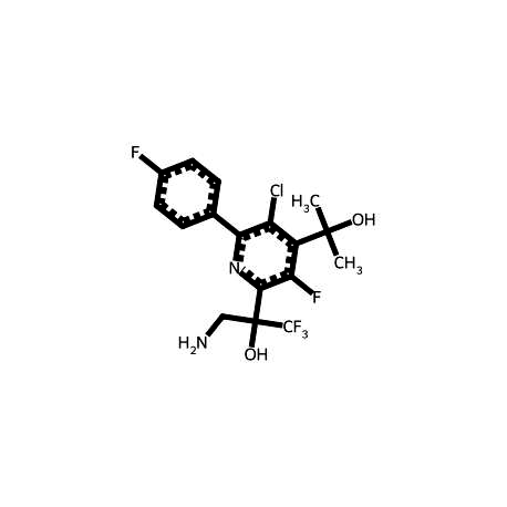 CC(C)(O)c1c(F)c(C(O)(CN)C(F)(F)F)nc(-c2ccc(F)cc2)c1Cl